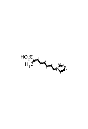 C[C@@H](CCCCCCn1ccnc1)C(=O)O